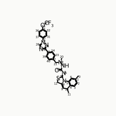 Cc1ccc2c(c1)N1C(=CC2C)CS/C1=N\C(=O)NN(C)Cc1ccc(-c2ncn(-c3ccc(OC(F)(F)F)cc3)n2)cc1